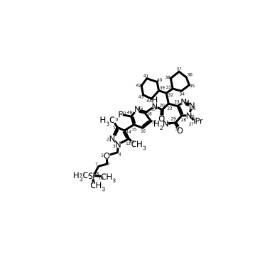 Cc1nn(COCC[Si](C)(C)C)c(C)c1-c1ccc(NC(=O)C(c2nnn(C(C)C)c2C(N)=O)C(C2CCCCC2)C2CCCCC2)nc1F